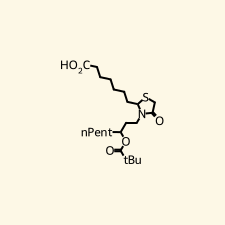 CCCCCC(CCN1C(=O)CSC1CCCCCCC(=O)O)OC(=O)C(C)(C)C